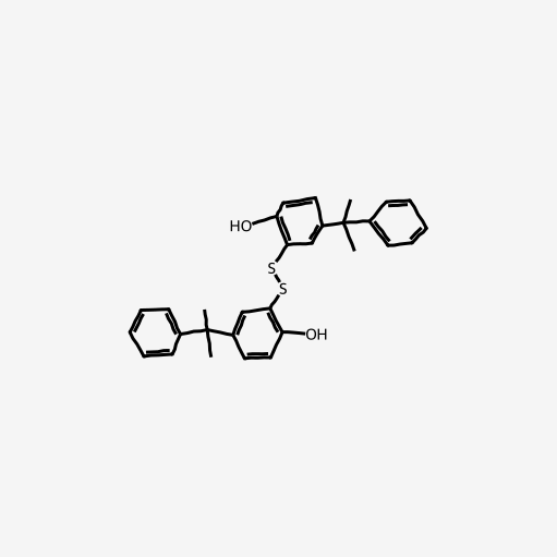 CC(C)(c1ccccc1)c1ccc(O)c(SSc2cc(C(C)(C)c3ccccc3)ccc2O)c1